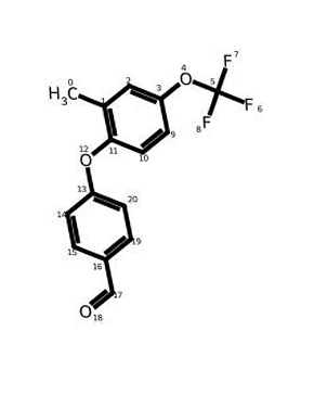 Cc1cc(OC(F)(F)F)ccc1Oc1ccc(C=O)cc1